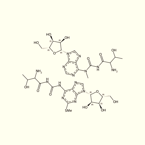 CC(O)C(N)C(=O)NC(=O)N(C)c1ncnc2c1ncn2[C@@H]1O[C@H](CO)[C@@H](O)[C@H]1O.CSc1nc(NC(=O)NC(=O)C(N)C(C)O)c2ncn([C@@H]3O[C@H](CO)[C@@H](O)[C@H]3O)c2n1